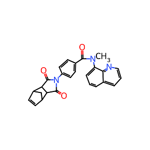 CN(C(=O)c1ccc(N2C(=O)C3C4C=CC(C4)C3C2=O)cc1)c1cccc2cccnc12